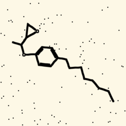 CCCCCCCCc1ccc(OC(C)C2CO2)cc1